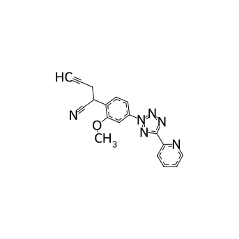 C#CCC(C#N)c1ccc(-n2nnc(-c3ccccn3)n2)cc1OC